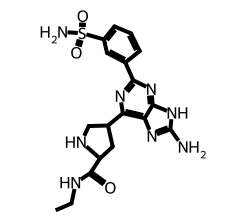 CCNC(=O)C1CC(c2nc(-c3cccc(S(N)(=O)=O)c3)nc3[nH]c(N)nc23)CN1